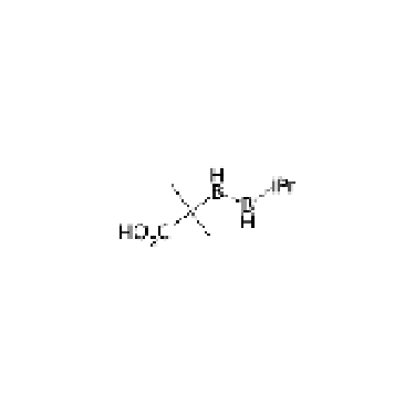 CC(C)BBC(C)(C)C(=O)O